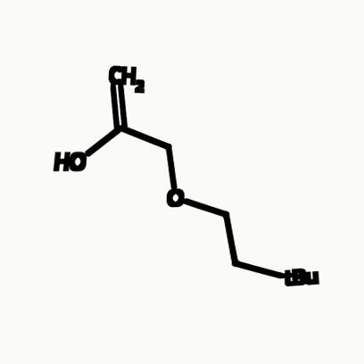 C=C(O)COCCC(C)(C)C